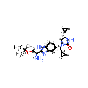 CC(C)(OC[C@H](N)c1nc2cc([C@@H](C3CC3)N3C[C@@H](C4CC4)NC3=O)ccc2[nH]1)C(F)(F)F